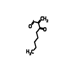 C=C([C]=O)C(=O)CCCCC